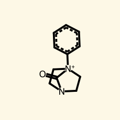 O=C1N2CC[N+]1(c1ccccc1)CC2